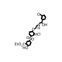 CCOC(=O)c1cc(S(=O)(=O)c2ccc(OCCNC[C@H](O)c3cccc(Cl)c3)cc2)ccc1O.Cl